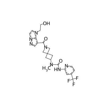 CN(C(=O)Nc1cc(C(F)(F)F)ccn1)C1CC2(C1)CN(C(=O)c1cnn3ccn(CCO)c13)C2